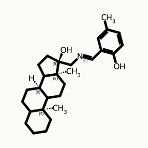 Cc1ccc(O)c(/C=N/C[C@@]2(O)CCC3[C@@H]4CCC5CCCC[C@]5(C)C4CC[C@@]32C)c1